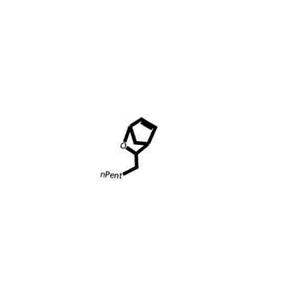 CCCCCCC1OC2C=CC1C2